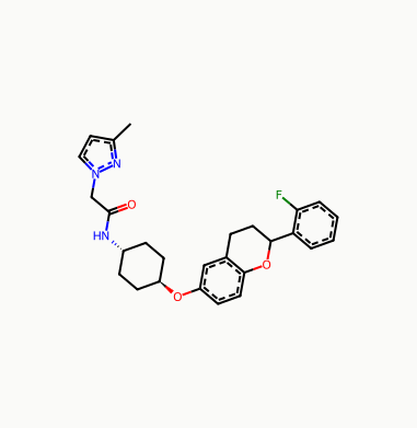 Cc1ccn(CC(=O)N[C@H]2CC[C@H](Oc3ccc4c(c3)CCC(c3ccccc3F)O4)CC2)n1